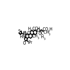 CC(C)C1=C2C3CCC4[C@@](C)(CCC5C(C)(C)[C@@H](OC(=O)CC(C)(C)C(=O)O)CC[C@@]54C)C3CC[C@@]2(NC(=O)c2ccsc2)CC1=O